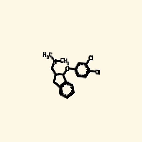 CN(C)CC1Cc2ccccc2C1Oc1ccc(Cl)c(Cl)c1